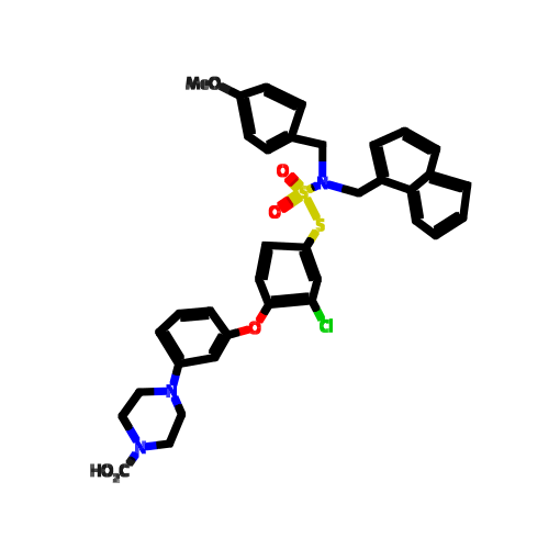 COc1ccc(CN(Cc2cccc3ccccc23)S(=O)(=O)Sc2ccc(Oc3cccc(N4CCN(C(=O)O)CC4)c3)c(Cl)c2)cc1